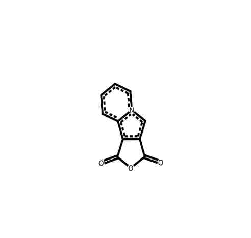 O=C1OC(=O)c2c1cn1ccccc21